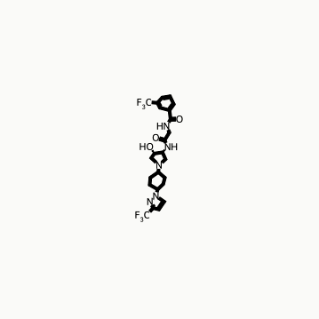 O=C(CNC(=O)c1cccc(C(F)(F)F)c1)N[C@H]1CN(C2CCC(n3ccc(C(F)(F)F)n3)CC2)C[C@H]1O